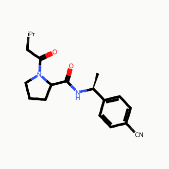 CC(C)CC(=O)N1CCCC1C(=O)N[C@@H](C)c1ccc(C#N)cc1